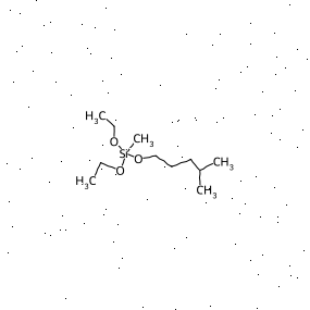 CCO[Si](C)(OCC)OCCCC(C)C